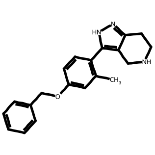 Cc1cc(OCc2ccccc2)ccc1-c1[nH]nc2c1CNCC2